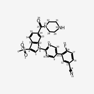 CS(=O)(=O)c1cn(-c2ncc(-c3cc(C#N)ccc3F)cn2)c2cc(C(=O)N3CCNCC3)ccc12